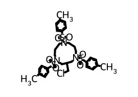 Cc1ccc(S(=O)(=O)N2CCCN(S(=O)(=O)c3ccc(C)cc3)CC(CCl)CN(S(=O)(=O)c3ccc(C)cc3)CCC2)cc1